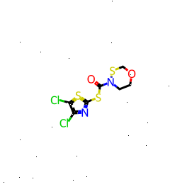 O=C(Sc1nc(Cl)c(Cl)s1)N1CCOCS1